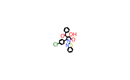 O=C(C1=C(O)C(=O)N(c2nc3ccccc3s2)C1c1ccc(Cl)cc1)c1ccccc1